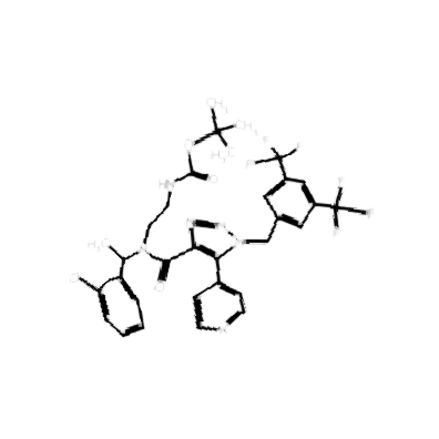 CC(c1ccccc1Cl)N(CCNC(=O)OC(C)(C)C)C(=O)c1nnn(Cc2cc(C(F)(F)F)cc(C(F)(F)F)c2)c1-c1ccncc1